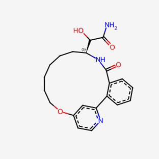 NC(=O)C(O)[C@@H]1CCCCCCOc2ccnc(c2)-c2ccccc2C(=O)N1